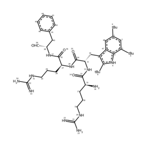 CC(C)(C)c1cc(C(C)(C)C)c2[nH]c(C(C)(C)C)c(C[C@H](NC(=O)[C@@H](N)CCCNC(=N)N)C(=O)N[C@@H](CCCNC(=N)N)C(=O)N[C@H]([C]=O)Cc3ccccc3)c2c1